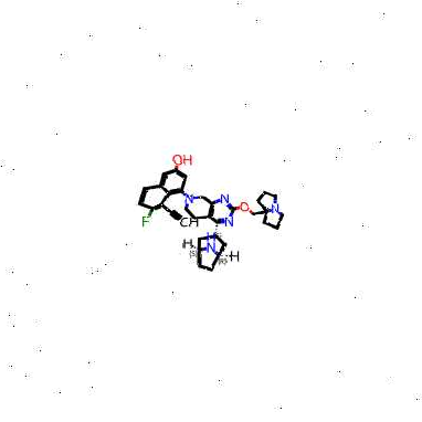 C#Cc1c(F)ccc2cc(O)cc(N3CCc4c(nc(OCC56CCCN5CCC6)nc4[C@@H]4C[C@H]5CC[C@@H](C4)N5)C3)c12